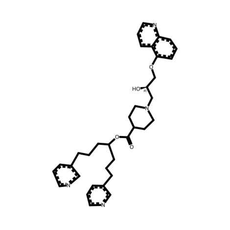 O=C(OC(CCCc1cccnc1)CCCc1cccnc1)C1CCN(C[C@@H](O)COc2cccc3ncccc23)CC1